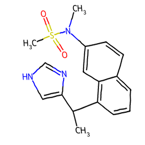 CC(c1c[nH]cn1)c1cccc2ccc(N(C)S(C)(=O)=O)cc12